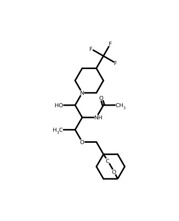 CC(=O)NC(C(C)OCC12CCC(CC1)OC2)C(O)N1CCC(C(F)(F)F)CC1